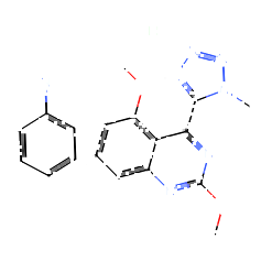 COc1nc(-c2nnnn2C)c2c(OC)cccc2n1.Cl.Nc1ccccc1